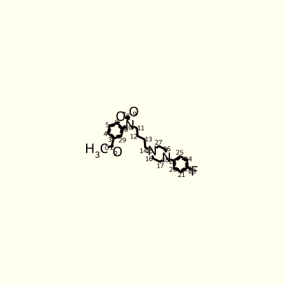 CC(=O)c1ccc2oc(=O)n(CCCCN3CCN(c4ccc(F)cc4)CC3)c2c1